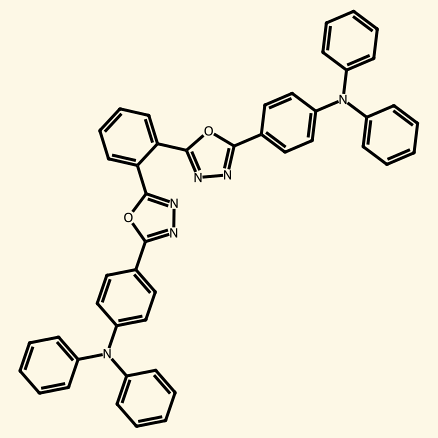 c1ccc(N(c2ccccc2)c2ccc(-c3nnc(-c4ccccc4-c4nnc(-c5ccc(N(c6ccccc6)c6ccccc6)cc5)o4)o3)cc2)cc1